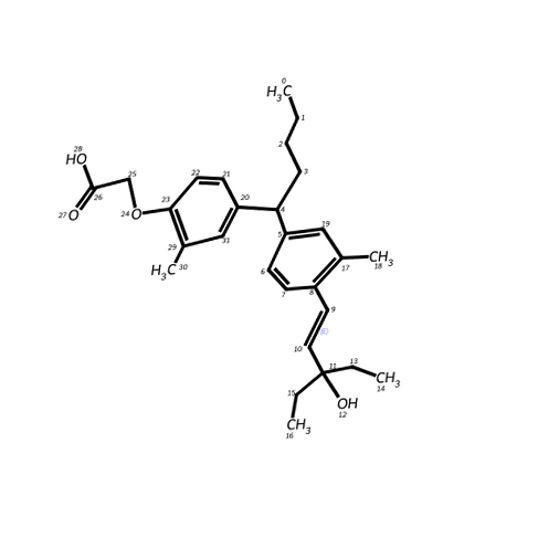 CCCCC(c1ccc(/C=C/C(O)(CC)CC)c(C)c1)c1ccc(OCC(=O)O)c(C)c1